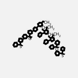 C=Cc1ccc(-c2ccccc2)cc1.C=Cc1cccc(-c2ccccc2)c1C=C.C=Cc1cccc(-c2ccccc2)c1C=C.c1ccc(C2(c3ccccc3)CO2)cc1.c1ccc(C2(c3ccccc3)CO2)cc1.c1ccc(C2(c3ccccc3)CS2)cc1.c1ccc(C2(c3ccccc3)CS2)cc1